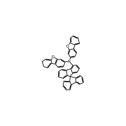 C1=c2oc3cc(N(c4ccc5c(c4)oc4ccccc45)c4cccc5c4-c4ccccc4C54c5ccccc5-c5ccccc54)ccc3c2=CCC1